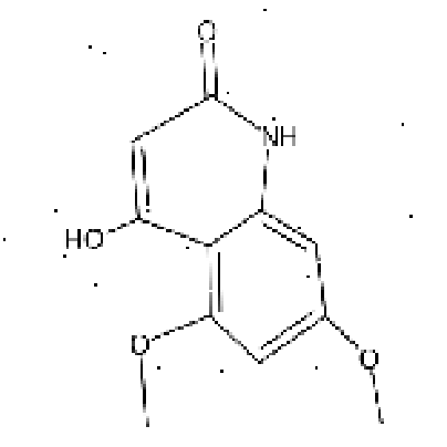 COc1cc(OC)c2c(O)cc(=O)[nH]c2c1